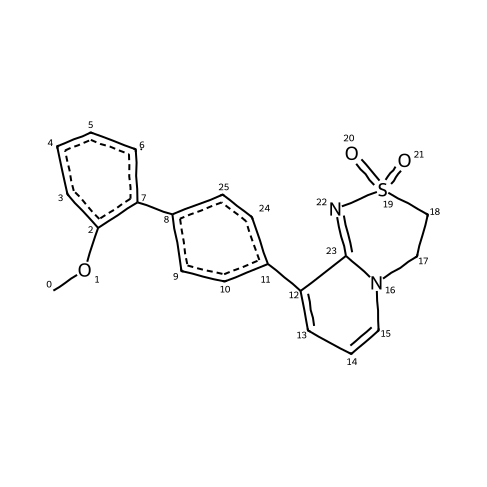 COc1ccc[c]c1-c1ccc(C2=CC=CN3CCS(=O)(=O)N=C23)cc1